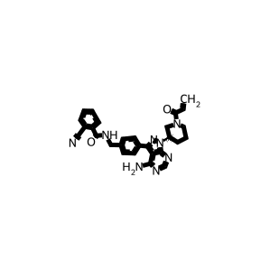 C=CC(=O)N1CCC[C@@H](n2nc(-c3ccc(CNC(=O)c4ccccc4C#N)cc3)c3c(N)ncnc32)C1